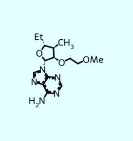 CC[C@H]1O[C@@H](n2cnc3c(N)ncnc32)[C@H](OCCOC)[C@@H]1C